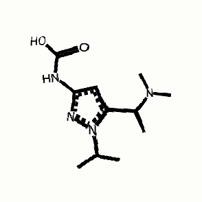 CC(c1cc(NC(=O)O)nn1C(C)C)N(C)C